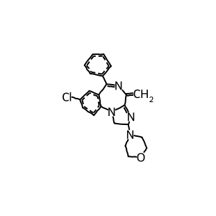 C=C1N=C(c2ccccc2)c2cc(Cl)ccc2N2CC(N3CCOCC3)N=C12